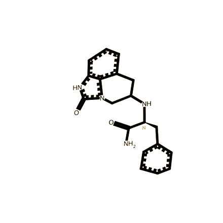 NC(=O)[C@H](Cc1ccccc1)NC1Cc2cccc3[nH]c(=O)n(c23)C1